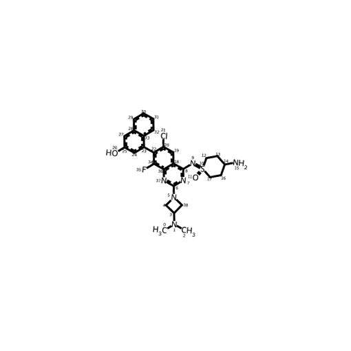 CN(C)C1CN(c2nc(N=S3(=O)CCC(N)CC3)c3cc(Cl)c(-c4cc(O)cc5ccccc45)c(F)c3n2)C1